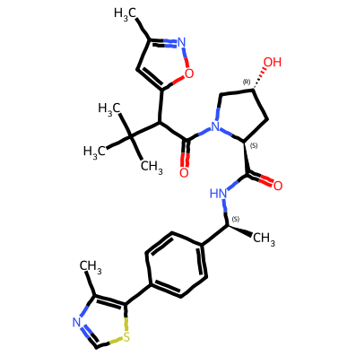 Cc1cc(C(C(=O)N2C[C@H](O)C[C@H]2C(=O)N[C@@H](C)c2ccc(-c3scnc3C)cc2)C(C)(C)C)on1